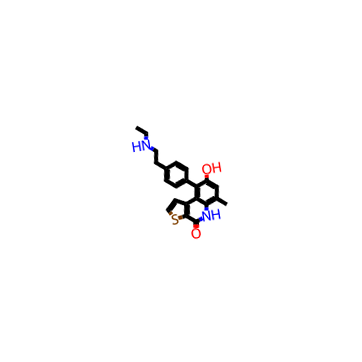 CCNCCc1ccc(-c2c(O)cc(C)c3[nH]c(=O)c4sccc4c23)cc1